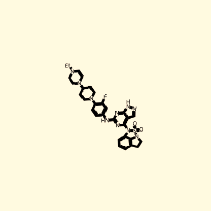 CCN1CCN(C2CCN(c3ccc(Nc4nc(N5c6cccc7c6N(CC7)S5(=O)=O)c5cn[nH]c5n4)cc3F)CC2)CC1